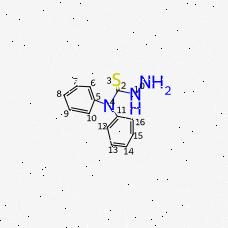 NNC(=S)N(c1ccccc1)c1ccccc1